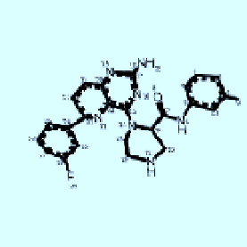 Cc1cccc(NC(=O)C2CNCCN2c2nc(N)nc3ccc(-c4cccc(F)c4)nc23)c1